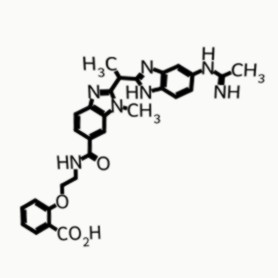 CC(=N)Nc1ccc2[nH]c(C(C)c3nc4ccc(C(=O)NCCOc5ccccc5C(=O)O)cc4n3C)nc2c1